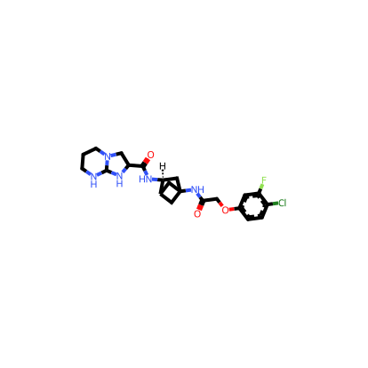 O=C(COc1ccc(Cl)c(F)c1)NC12CC(C1)[C@@H](NC(=O)C1CN3CCCNC3N1)C2